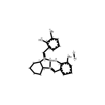 CC(=O)[O-].CC(C)(C)c1cccc(C=[N+]2[Mn][N+](=Cc3cccc(C(C)(C)C)c3O)C3CCCCC32)c1O